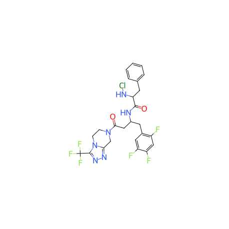 O=C(NC(CC(=O)N1CCn2c(nnc2C(F)(F)F)C1)Cc1cc(F)c(F)cc1F)C(Cc1ccccc1)NCl